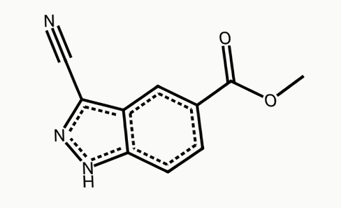 COC(=O)c1ccc2[nH]nc(C#N)c2c1